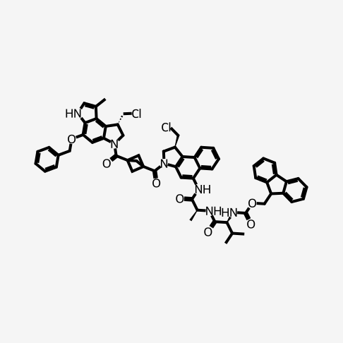 Cc1c[nH]c2c(OCc3ccccc3)cc3c(c12)[C@H](CCl)CN3C(=O)C12CC(C(=O)N3C[C@@H](CCl)c4c3cc(NC(=O)[C@H](C)NC(=O)[C@@H](NC(=O)OCC3c5ccccc5-c5ccccc53)C(C)C)c3ccccc43)(C1)C2